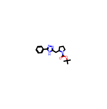 CC(C)(C)OC(=O)N1CCCC1Cc1nnc(-c2ccccc2)[nH]1